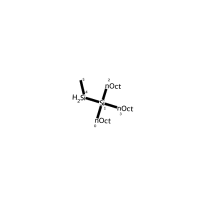 CCCCCCCC[Si](CCCCCCCC)(CCCCCCCC)[SiH2]C